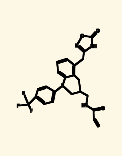 C=CC(=O)NCC1Cc2c(Cc3noc(=O)[nH]3)cccc2N(c2ccc(C(F)(F)F)cc2)C1